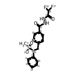 CS(=O)(=O)N(Cc1ccc(C(=O)NNC(=O)C(F)F)cn1)c1ccccc1